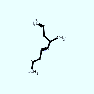 [CH2]C(/C=C/CCC)CC=C